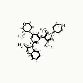 Cc1nn(C2CCNCC2)c(C(F)(F)F)c1-c1cc(N2CCOC[C@H]2C)nc(-n2c(N)nc3ccccc32)n1